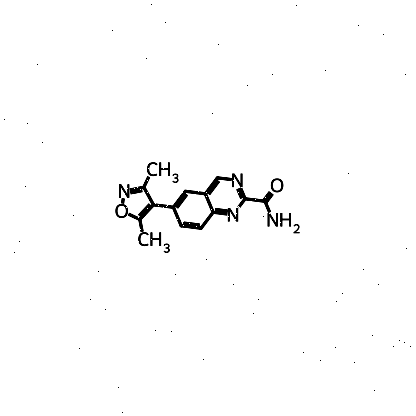 Cc1noc(C)c1-c1ccc2nc(C(N)=O)ncc2c1